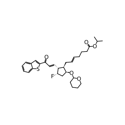 CC(C)OC(=O)CCCC=CC[C@@H]1[C@@H](C=CC(=O)c2cc3ccccc3s2)[C@@H](F)C[C@@H]1OC1CCCCO1